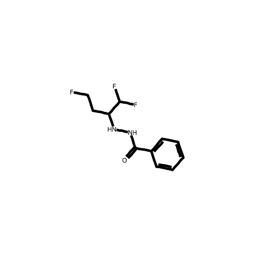 O=C(NNC(CCF)C(F)F)c1ccccc1